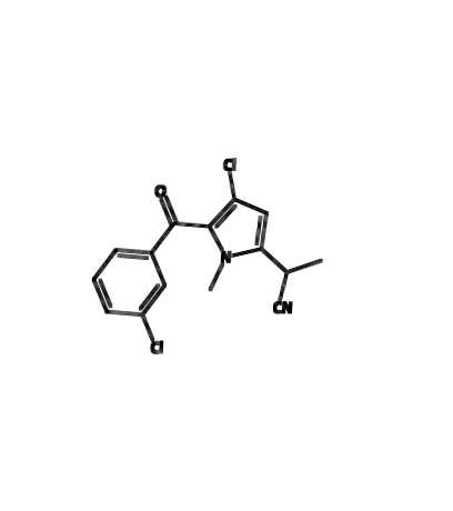 CC(C#N)c1cc(Cl)c(C(=O)c2cccc(Cl)c2)n1C